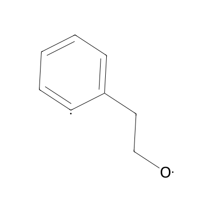 [O]CCc1[c]cccc1